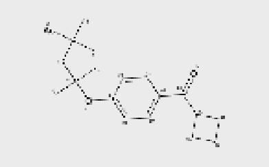 CC(=O)C(C)(C)CC(C)(C)Oc1ccc(C(=O)C2CCC2)cc1